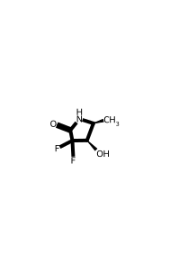 C[C@@H]1NC(=O)C(F)(F)[C@@H]1O